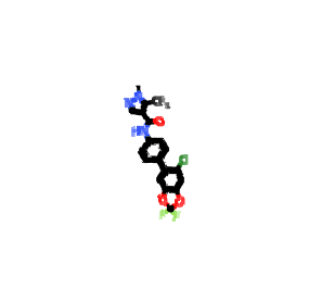 Cn1ncc(C(=O)Nc2ccc(-c3cc4c(cc3Cl)OC(F)(F)O4)cc2)c1C(F)(F)F